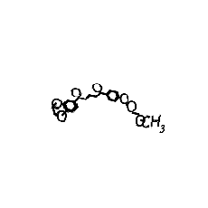 COCCOCOc1ccc(C(=O)CCCC(=O)c2ccc3c(c2)OCCO3)cc1